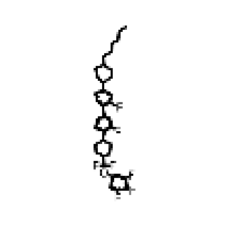 CCCCCCC1CCC(c2ccc(-c3ccc(C4CCC(C(F)(F)Oc5cc(F)c(F)c(F)c5)CC4)c(F)c3)c(F)c2)CC1